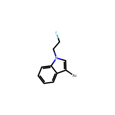 CC(=O)c1cn(CCF)c2ccccc12